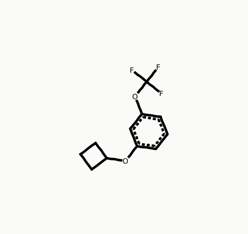 FC(F)(F)Oc1cccc(OC2CCC2)c1